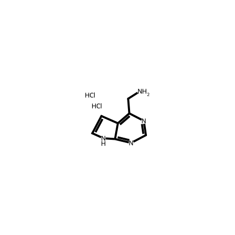 Cl.Cl.NCc1ncnc2[nH]ccc12